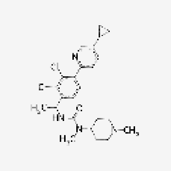 CC(NC(=O)N(C)C1CCN(C)CC1)c1ccc(-c2ccc(C3CC3)cn2)c(Cl)c1Cl